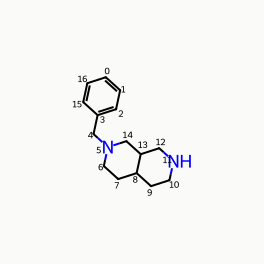 c1ccc(CN2CCC3CCNCC3C2)cc1